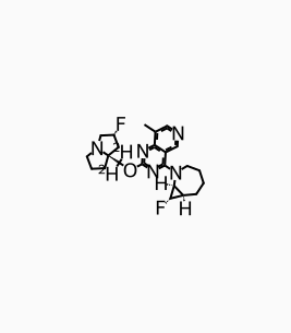 [2H]C([2H])(Oc1nc(N2CCCC[C@H]3[C@H](F)[C@H]32)c2cncc(C)c2n1)[C@@]12CCCN1C[C@H](F)C2